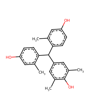 Cc1cc(O)ccc1C(c1cc(C)c(O)c(C)c1)c1ccc(O)cc1C